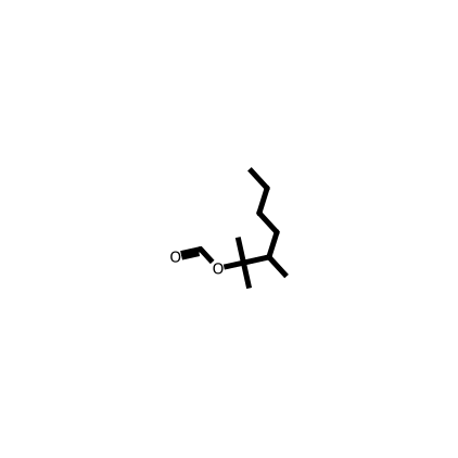 CCCCC(C)C(C)(C)OC=O